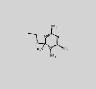 CCOC1(N)N=C(N)N=C(N)N1N